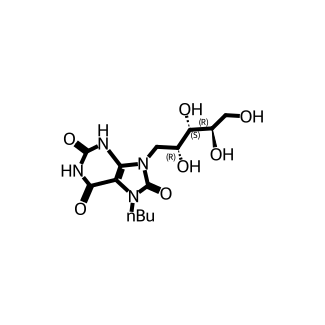 [CH2]CCCn1c(=O)n(C[C@@H](O)[C@H](O)[C@H](O)CO)c2[nH]c(=O)[nH]c(=O)c21